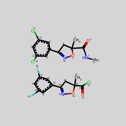 CC(C)(C)NC(=O)C1(C)CC(c2cc(Cl)cc(Cl)c2)=NO1.CC1(C(=O)Cl)CC(c2cc(F)cc(F)c2)=NO1